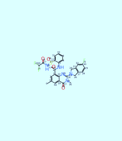 Cc1cc([C@@H](C)Nc2ccccc2S(=O)(=O)NC(=O)C(F)F)c2nc(N3Cc4ccc(F)cc4C3)n(C)c(=O)c2c1